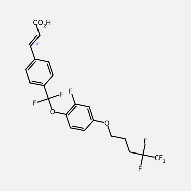 O=C(O)/C=C/c1ccc(C(F)(F)Oc2ccc(OCCCC(F)(F)C(F)(F)F)cc2F)cc1